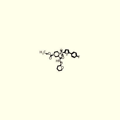 CCOC(=O)N1CCN(S(=O)(=O)c2ccc(-c3ccc(F)cc3)s2)[C@@H](C(=O)NOC2CCCCO2)C1